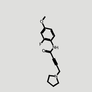 COc1ccc(NC(=O)C#CCN2CCCC2)c(F)c1